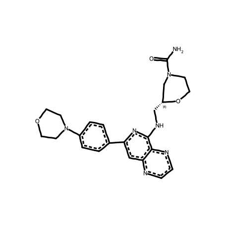 NC(=O)N1CCO[C@H](CNc2nc(-c3ccc(N4CCOCC4)cc3)cc3nccnc23)C1